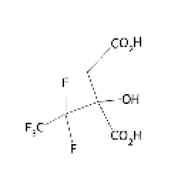 O=C(O)CC(O)(C(=O)O)C(F)(F)C(F)(F)F